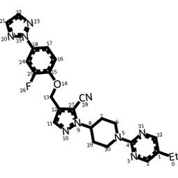 CCc1cnc(N2CCC(n3ncc(COc4ccc(-n5nccn5)cc4F)c3C#N)CC2)nc1